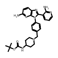 CC(C)(C)OC(=O)NC1CCN(Cc2ccc(-n3c(-c4cccnc4N)nc4ccc(N)nc43)cc2)CC1